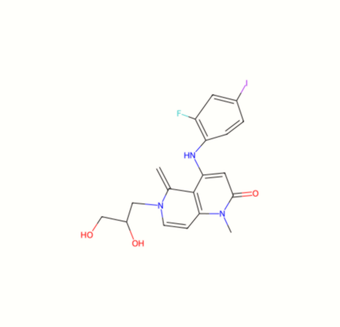 C=C1c2c(Nc3ccc(I)cc3F)cc(=O)n(C)c2C=CN1CC(O)CO